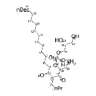 CCCC=C(C(=O)CCCCCCCCCCCCCCCCCCCCC)C(=O)C(CN)OP(=O)(O)OC[C@H](O)CO